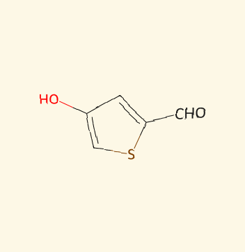 O=Cc1cc(O)cs1